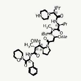 CC[C@H](C)[C@@H](C(CC(=O)N1CCC[C@H]1[C@H](OC)[C@@H](C)C(=O)N[C@@H](Cc1ccccc1)C(=O)N1CCCCO1)OC)N(C)C(=O)[C@@H](NC(=O)[C@H](C(C)C)N1CCNCC1)C(C)C